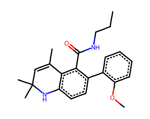 CCCNC(=O)c1c(-c2ccccc2OC)ccc2c1C(C)=CC(C)(C)N2